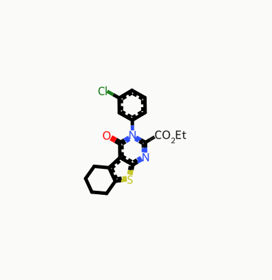 CCOC(=O)c1nc2sc3c(c2c(=O)n1-c1cccc(Cl)c1)CCCC3